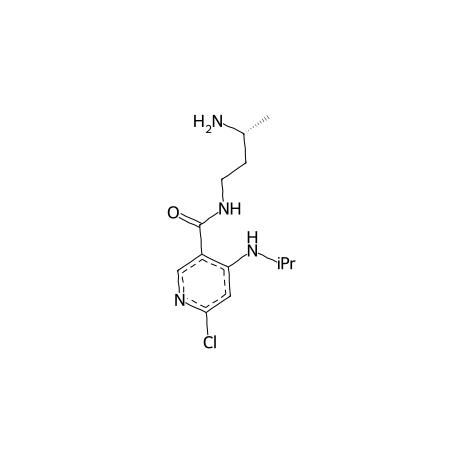 CC(C)Nc1cc(Cl)ncc1C(=O)NCC[C@@H](C)N